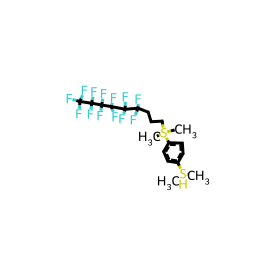 C[SH](C)c1ccc(S(C)(C)CCCC(F)(F)C(F)(F)C(F)(F)C(F)(F)C(F)(F)C(F)(F)F)cc1